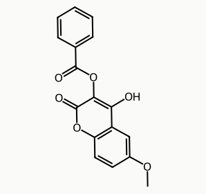 COc1ccc2oc(=O)c(OC(=O)c3ccccc3)c(O)c2c1